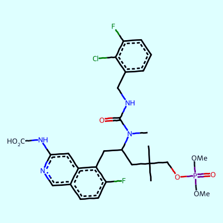 COP(=O)(OC)OCC(C)(C)CC(Cc1c(F)ccc2cnc(NC(=O)O)cc12)N(C)C(=O)NCc1cccc(F)c1Cl